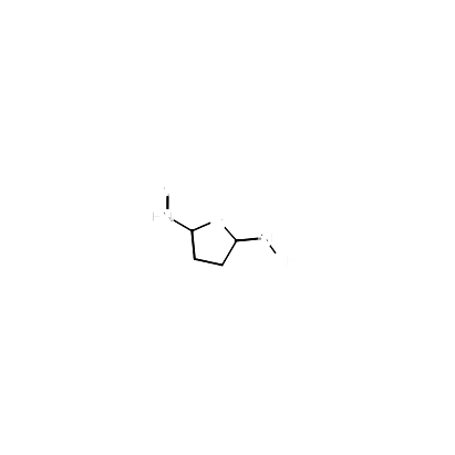 CNC1CCC(NC)O1